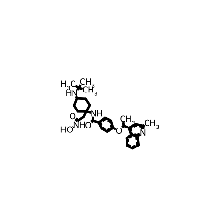 Cc1cc(C(C)Oc2ccc(C(=O)NC3(CC(=O)NO)CCC(NC(C)(C)C)CC3)cc2)c2ccccc2n1